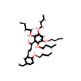 CCCCOc1ccc(CC)cc1/C=C/C(=O)c1c(OCCCC)c(OCCCC)cc(OCCCC)c1OCCCC